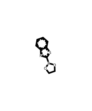 c1ccc2sc(B3OCCO3)nc2c1